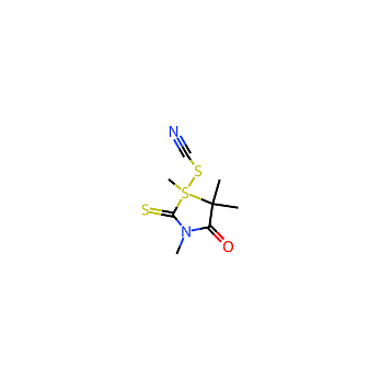 CN1C(=O)C(C)(C)S(C)(SC#N)C1=S